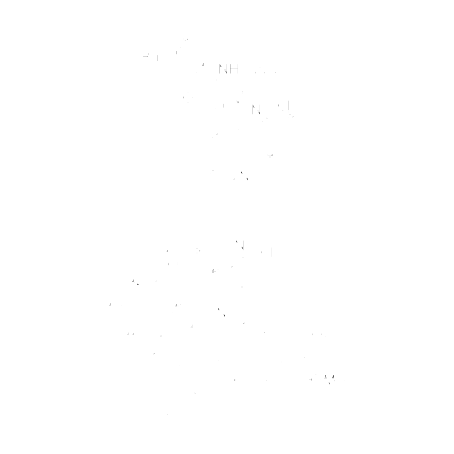 COC(=O)c1ccc2c(C3CCCCC3)c3n(c2c1)C[C@@H](N(C)CCN1CCC(N(C)S(=O)(=O)NC(=O)OC(C)(C)C)C1)COc1ccccc1-3